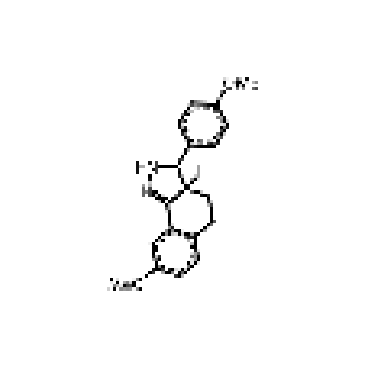 COc1ccc(C2NN=C3c4cc(OC)ccc4CC[C@H]32)cc1